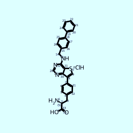 Cl.N[C@@H](Cc1ccc(-c2csc3c(NCc4ccc(-c5ccccc5)cc4)ncnc23)cc1)C(=O)O